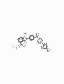 NC(=O)c1cccc2[nH]c(-c3ccc(C(=O)N4CCN(c5ncc(Br)cn5)CC4)cc3)nc12